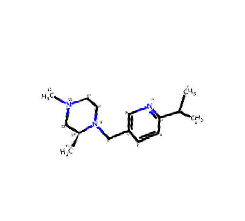 CC(C)c1ccc(CN2CCN(C)C[C@@H]2C)cn1